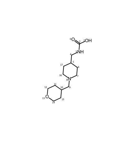 O=C(O)NCC1CCN(CC2CCOCC2)CC1